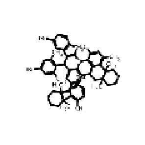 Cc1ccc(C(C)(C)C)cc1C1(C)CCCCC1(C)Cc1cc2c3c(c1)C(c1c(C)cc(C(C)(C)C)cc1C)c1c(sc4ccc(C(C)(C)C)cc14)B3c1c(C)cc(C)c3c1C2CC1(C)CCCCC31C